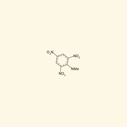 CNc1c([N+](=O)[O-])cc([N+](=O)[O-])cc1[N+](=O)[O-]